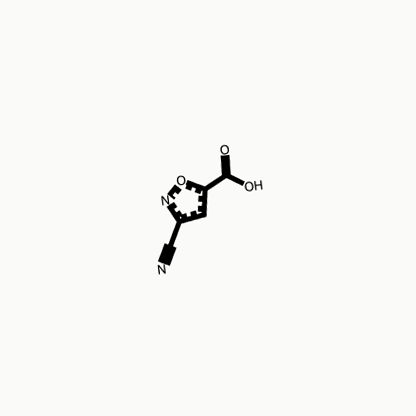 N#Cc1cc(C(=O)O)on1